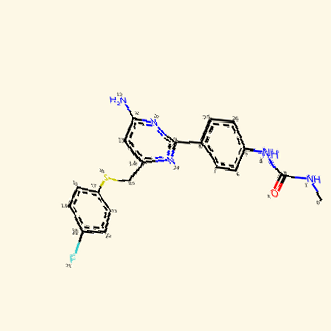 CNC(=O)Nc1ccc(-c2nc(N)cc(CSc3ccc(F)cc3)n2)cc1